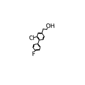 OCCc1ccc(-c2ccc(F)cc2)c(Cl)c1